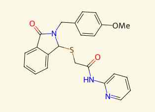 COc1ccc(CN2C(=O)c3ccccc3C2SCC(=O)Nc2ccccn2)cc1